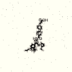 CCCOc1ccc(-c2nc(NC(=O)c3cnc(N4CCN(CCC(=O)O)CC4)cn3)sc2CN2CCC[C@H]2CC)cc1C(F)(F)F